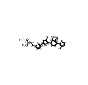 Cc1ccsc1-c1ccc(-c2sc(-c3ccc(CCN(C(=O)O)C(C)(C)C)s3)cc2C)c2nsnc12